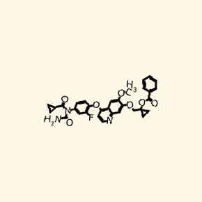 COc1cc2c(Oc3ccc(N(C(N)=O)C(=O)C4CC4)cc3F)ccnc2cc1OCC1(OC(=O)c2ccccc2)CC1